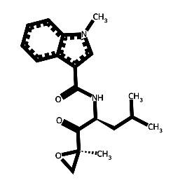 CC(C)C[C@H](NC(=O)c1cn(C)c2ccccc12)C(=O)[C@@]1(C)CO1